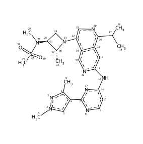 Cc1nn(C)cc1-c1nccc(Nc2cc3c(C(C)C)ncc(N4C[C@H](N(C)S(C)(=O)=O)[C@H]4C)c3cn2)n1